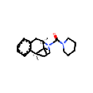 CC1(C)[C@H]2Cc3ccccc3[C@]1(C)CCN2C(=O)N1CCCCC1